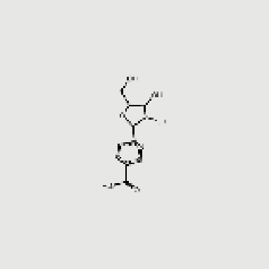 NC(=O)c1ccc(C2OC(CO)C(O)C2O)nc1